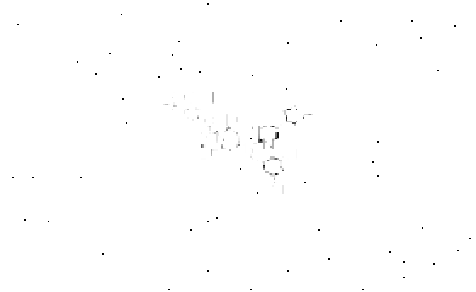 CC[C@@H]1C[C@H](N(Cc2cc(C(F)(F)F)cc(C(F)(F)F)c2)c2ncc(-c3ccn(C)c3)cn2)C[C@H](CC)N1C(=O)O[C@H]1C[C@H](C(C)(C)C(=O)O)C1